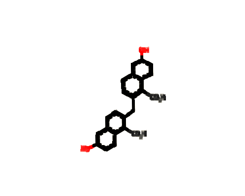 O=C(O)c1c(Cc2ccc3cc(O)ccc3c2C(=O)O)ccc2cc(O)ccc12